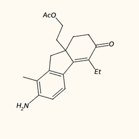 CCC1=C2c3ccc(N)c(C)c3CC2(CCOC(C)=O)CCC1=O